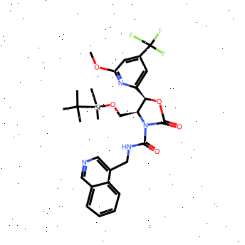 COc1cc(C(F)(F)F)cc([C@H]2OC(=O)N(C(=O)NCc3cncc4ccccc34)[C@H]2CO[Si](C)(C)C(C)(C)C)n1